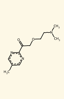 Cc1cnc(C(=O)COCCN(C)C)nc1